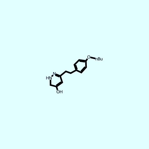 CCCCOc1ccc(CCC2=NNCC(O)=C2)cc1